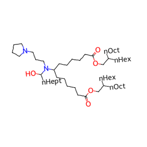 CCCCCCCCC(CCCCCC)COC(=O)CCCCCC(CCCCCC(=O)OCC(CCCCCC)CCCCCCCC)N(CCCN1CCCC1)C(O)CCCCCCC